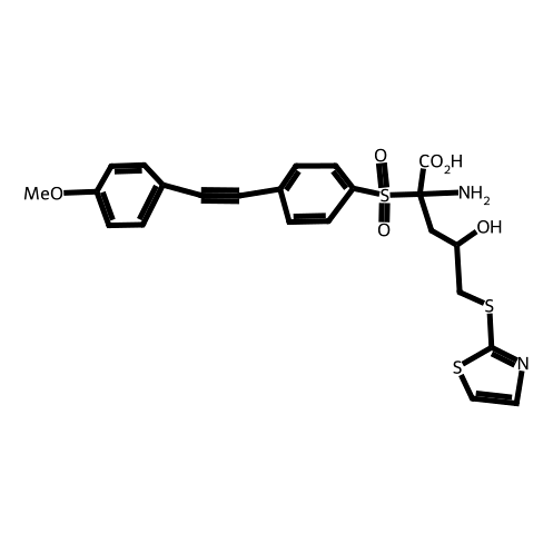 COc1ccc(C#Cc2ccc(S(=O)(=O)C(N)(CC(O)CSc3nccs3)C(=O)O)cc2)cc1